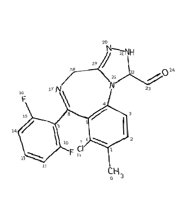 Cc1ccc2c(c1Cl)C(c1c(F)cccc1F)=NCC1=NNC(C=O)N12